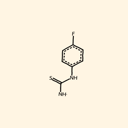 [NH]C(=S)Nc1ccc(F)cc1